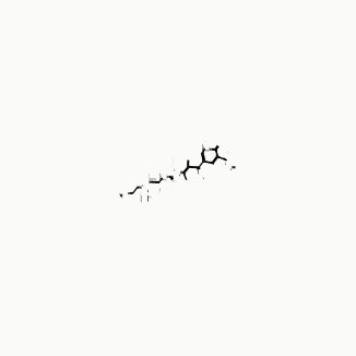 C=C1C(C(=O)NC)=CC(C(=N/C)/C(C)=C(\C)NC(=O)N[C@@H](CO)CNCCOC)=CN1C